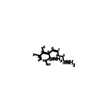 C=C(C)/C(C)=C(/C=C\CCCN)C(N)CC